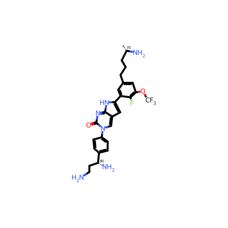 C[C@H](N)CCCc1cc(OC(F)(F)F)c(F)c(-c2cc3cn(-c4ccc([C@H](N)CCN)cc4)c(=O)nc3[nH]2)c1